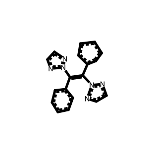 c1ccc(C(=C(c2ccccc2)n2nccn2)n2nccn2)cc1